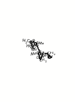 C=C1CC2C(O)N(C(=O)OC(C)(C)C)c3cc(OCCCCCOc4cc5c(cc4OC)C(=O)N4CC(=C)C[C@H]4[C@H](O)N5C(=O)OC[C@@H](C)SSc4ccccn4)c(OC)cc3C(=O)N2C1